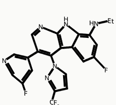 CCNc1cc(F)cc2c1[nH]c1ncc(-c3cncc(F)c3)c(-n3ccc(C(F)(F)F)n3)c12